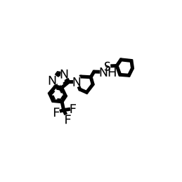 FC(F)(F)c1ccc2ncnc(N3CCCC(CNSC4CCCCC4)C3)c2c1